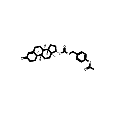 CC(=O)Oc1ccc(COC(=O)O[C@H]2CC[C@H]3[C@@H]4CCC5=CC(=O)CC[C@]5(C)[C@H]4CC[C@]23C)cc1